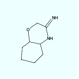 N=C1COC2CCCCC2N1